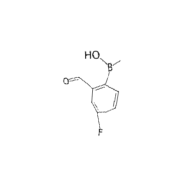 CB(O)c1ccc(F)cc1C=O